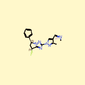 C/N=C\c1cn(-c2nc3n(n2)[C@H](c2ccccc2)C[C@@H]3F)nc1C